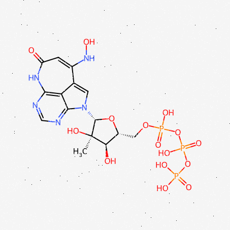 C[C@@]1(O)[C@H](O)[C@@H](COP(=O)(O)OP(=O)(O)OP(=O)(O)O)O[C@H]1n1cc2c3c(ncnc31)NC(=O)C=C2NO